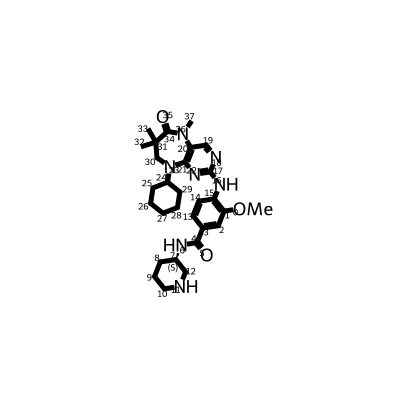 COc1cc(C(=O)N[C@H]2CCCNC2)ccc1Nc1ncc2c(n1)N(C1CCCCC1)CC(C)(C)C(=O)N2C